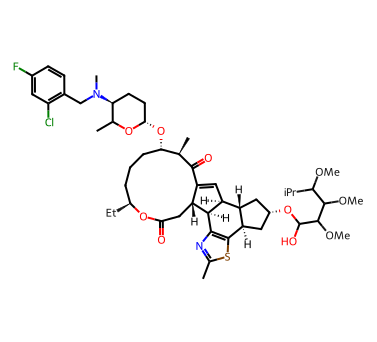 CC[C@H]1CCC[C@H](O[C@H]2CC[C@H](N(C)Cc3ccc(F)cc3Cl)C(C)O2)[C@@H](C)C(=O)C2=C[C@H]3[C@@H]4C[C@H](OC(O)C(OC)C(OC)C(OC)C(C)C)C[C@H]4c4sc(C)nc4[C@H]3[C@@H]2CC(=O)O1